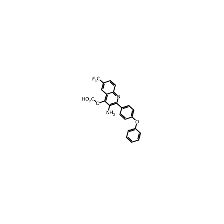 Nc1c(-c2ccc(Oc3ccccc3)cc2)nc2ccc(C(F)(F)F)cc2c1OC(=O)O